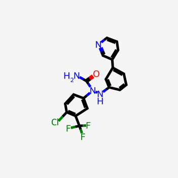 NC(=O)N(Nc1cccc(-c2cccnc2)c1)c1ccc(Cl)c(C(F)(F)F)c1